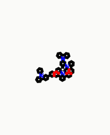 c1ccc(-c2ccccc2N2c3cc(-n4c5ccccc5c5ccccc54)ccc3B3c4ccc(-c5ccc(-c6ccc7c8ccccc8n(-c8ccccc8)c7c6)cc5)cc4N(c4c(-c5ccccc5)cccc4-c4ccccc4)c4cccc2c43)cc1